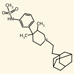 CC1CN(CCC23CC4CC(CC(C4)C2)C3)CCC1(C)c1cccc(NS(C)(=O)=O)c1